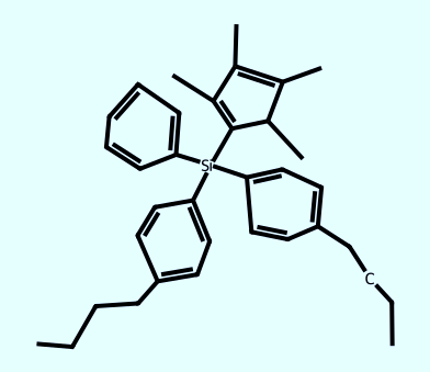 CCCCc1ccc([Si](C2=C(C)C(C)=C(C)C2C)(c2ccccc2)c2ccc(CCCC)cc2)cc1